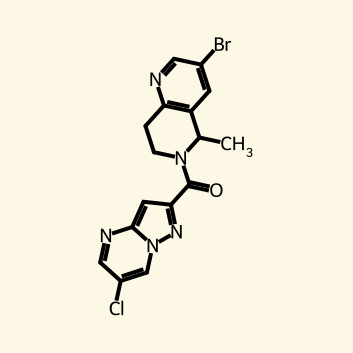 CC1c2cc(Br)cnc2CCN1C(=O)c1cc2ncc(Cl)cn2n1